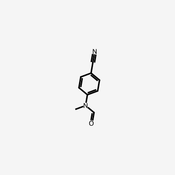 CN(C=O)c1ccc(C#N)cc1